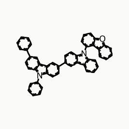 c1ccc(-c2ccc3c(c2)c2cc(-c4ccc5c(c4)c4ccccc4n5-c4cccc5oc6ccccc6c45)ccc2n3-c2ccccc2)cc1